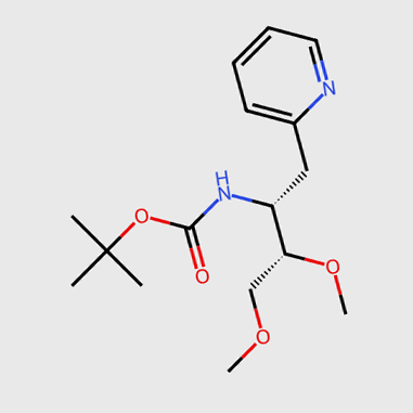 COC[C@@H](OC)[C@@H](Cc1ccccn1)NC(=O)OC(C)(C)C